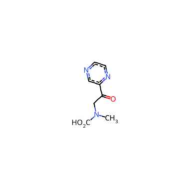 CN(CC(=O)c1cnccn1)C(=O)O